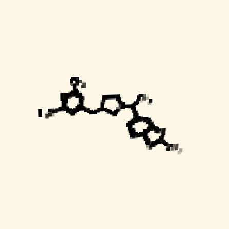 Cc1cc(CC2CCN(C(C)c3ccc4sc(C)nc4c3)C2)cc(C)n1